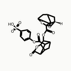 O=C1OC2C3CC(C2OC(=O)C24CC5CC(C2)C(=O)[C@H](C5)C4)C(C(=O)Oc2ccc(S(=O)(=O)O)cc2)C13